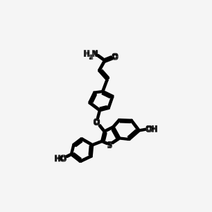 NC(=O)/C=C/c1ccc(Oc2c(-c3ccc(O)cc3)sc3cc(O)ccc23)cc1